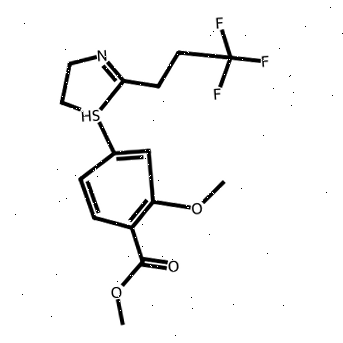 COC(=O)c1ccc([SH]2CCN=C2CCC(F)(F)F)cc1OC